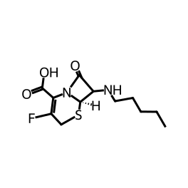 CCCCCNC1C(=O)N2C(C(=O)O)=C(F)CS[C@H]12